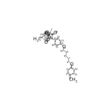 Cc1ccc(OCCCCCOc2ccc(N3OC4CC5ON(C)C(=O)C4C5C3=O)cc2)cc1